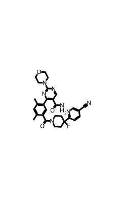 Cc1cc(C)c(-c2nc(N3CCOCC3)ncc2C(N)=O)cc1C(=O)N1CCC(F)(c2ccc(C#N)cn2)CC1